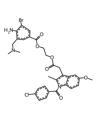 COc1ccc2c(c1)c(CC(=O)OCCOC(=O)c1cc(Br)c(N)c(CN(C)C)c1)c(C)n2C(=O)c1ccc(Cl)cc1